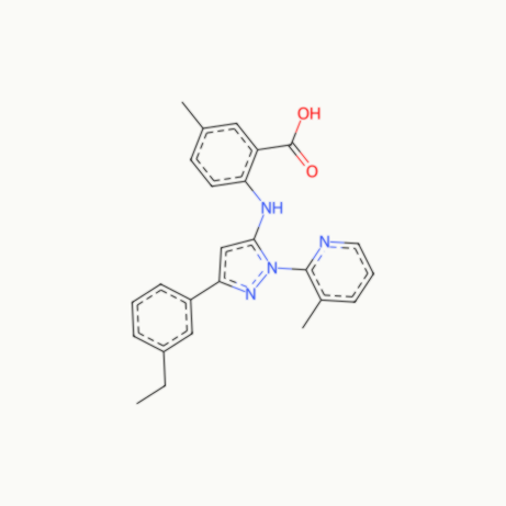 CCc1cccc(-c2cc(Nc3ccc(C)cc3C(=O)O)n(-c3ncccc3C)n2)c1